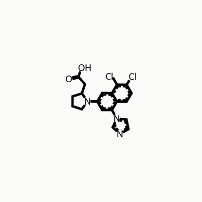 O=C(O)CC1CCCN1c1cc(-n2ccnc2)c2ccc(Cl)c(Cl)c2c1